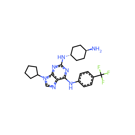 N[C@H]1CC[C@H](Nc2nc(Nc3ccc(C(F)(F)F)cc3)c3ncn(C4CCCC4)c3n2)CC1